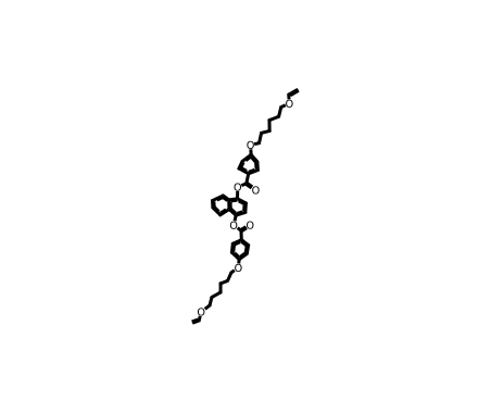 C=COCCCCCCOc1ccc(C(=O)Oc2ccc(OC(=O)c3ccc(OCCCCCCOC=C)cc3)c3ccccc23)cc1